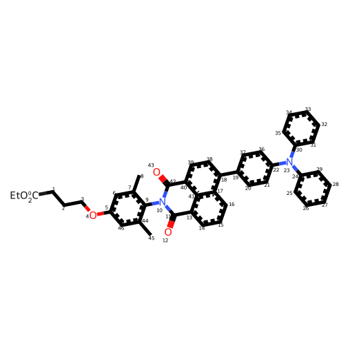 CCOC(=O)CCCOc1cc(C)c(N2C(=O)c3cccc4c(-c5ccc(N(c6ccccc6)c6ccccc6)cc5)ccc(c34)C2=O)c(C)c1